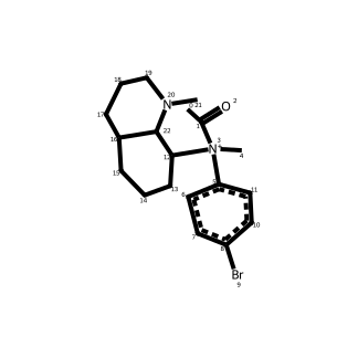 CC(=O)[N+](C)(c1ccc(Br)cc1)C1CCCC2CCCN(C)C21